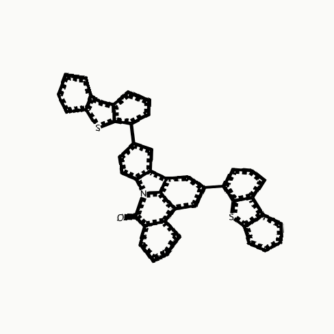 O=c1c2ccccc2c2cc(-c3cccc4c3sc3ccccc34)cc3c4cc(-c5cccc6c5sc5ccccc56)ccc4n1c23